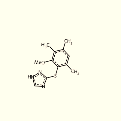 COc1c(C)c(C)cc(C)c1Sc1nc[nH]n1